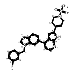 CS(=O)(=O)N1CC=C(c2cc3c(-c4ccc5ncn(Cc6cccc(F)c6)c5c4)ccnc3[nH]2)CC1